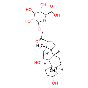 C[C@]12CC[C@@H](O)C[C@@H]1CC[C@@H]1[C@@H]2[C@H](O)C[C@]2(C)[C@@H](C(=O)COC3O[C@H](C(=O)O)[C@@H](O)[C@H](O)[C@H]3O)CC[C@@H]12